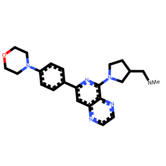 CNCC1CCN(c2nc(-c3ccc(N4CCOCC4)cc3)cc3nccnc23)C1